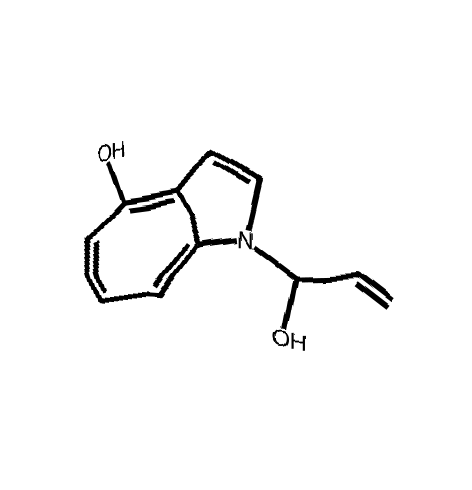 C=CC(O)n1ccc2c(O)cccc21